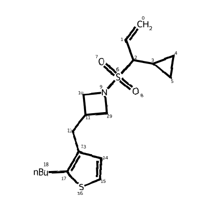 C=CC(C1CC1)S(=O)(=O)N1CC(Cc2ccsc2CCCC)C1